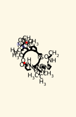 C=CC(=O)NC[C@H]1CCN1C(=O)N(C)[C@H](C(=O)N[C@H]1Cc2nc(cs2)-c2ccc3c(c2)c(c(/C(C=C)=C(/N=C\C)[C@H](C)OC)n3CC)CC(C)(C)COC(=O)[C@@H]2CCCN(N2)C1=O)C(C)C